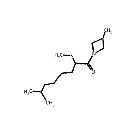 CSC(CCCCC(C)C)C(=O)N1CC(C)C1